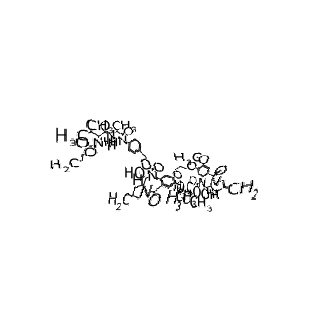 C=CCOC(=O)N[C@H](C(=O)N[C@@H](C)C(=O)Nc1ccc(COC(=O)N2c3cc(OCCCOc4cc5c(cc4OC)C(=O)N4CC(=C)C[C@H]4[C@H](O)N5C(=O)OC(C)(C)C)c(OC)cc3C(=O)N3CC(=C)C[C@H]3[C@@H]2O)cc1)C(C)C